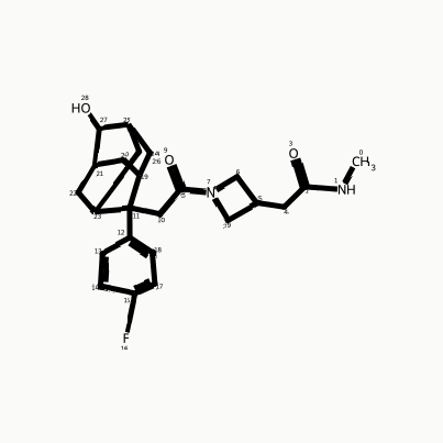 CNC(=O)CC1CN(C(=O)CC2(c3ccc(F)cc3)C3CC4CC2CC(C3)C4O)C1